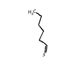 CCCCCC=S